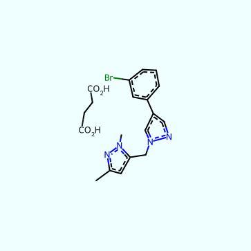 Cc1cc(Cn2cc(-c3cccc(Br)c3)cn2)n(C)n1.O=C(O)CCC(=O)O